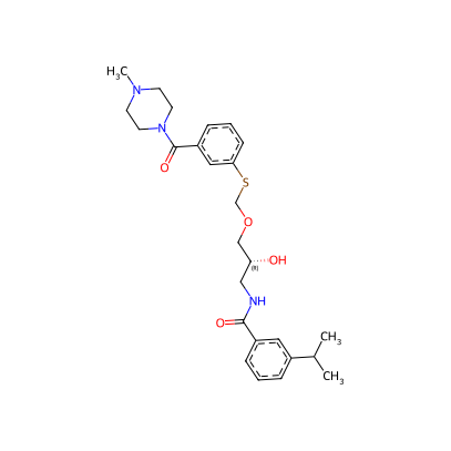 CC(C)c1cccc(C(=O)NC[C@@H](O)COCSc2cccc(C(=O)N3CCN(C)CC3)c2)c1